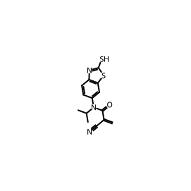 C=C(C#N)C(=O)N(c1ccc2nc(S)sc2c1)C(C)C